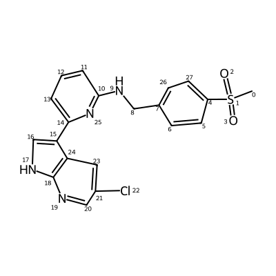 CS(=O)(=O)c1ccc(CNc2cccc(-c3c[nH]c4ncc(Cl)cc34)n2)cc1